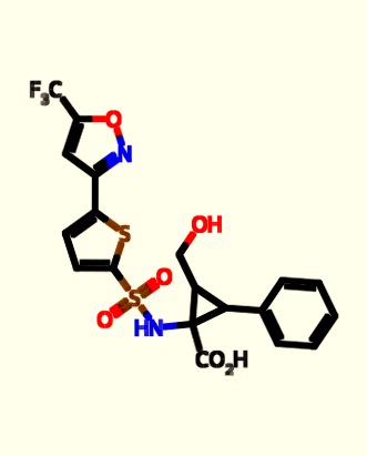 O=C(O)C1(NS(=O)(=O)c2ccc(-c3cc(C(F)(F)F)on3)s2)C(CO)C1c1ccccc1